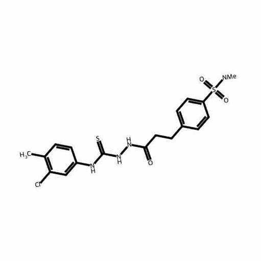 CNS(=O)(=O)c1ccc(CCC(=O)NNC(=S)Nc2ccc(C)c(Cl)c2)cc1